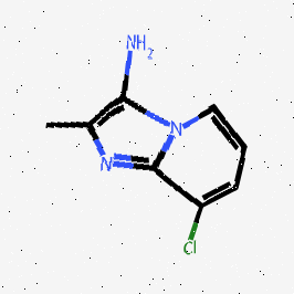 Cc1nc2c(Cl)cccn2c1N